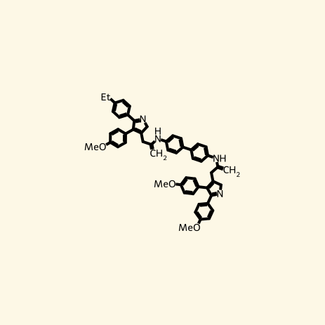 C=C(CC1=C(c2ccc(OC)cc2)C(c2ccc(CC)cc2)=NC1)Nc1ccc(-c2ccc(NC(=C)CC3=C(c4ccc(OC)cc4)C(c4ccc(OC)cc4)=NC3)cc2)cc1